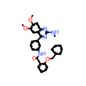 CNc1nc(-c2cccc(NC(=O)c3ccccc3OCc3ccccc3)c2)c2cc(OC)c(OC)cc2n1